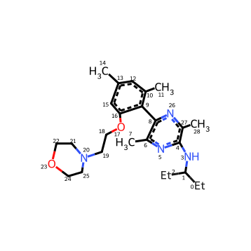 CCC(CC)Nc1nc(C)c(-c2c(C)cc(C)cc2OCCN2CCOCC2)nc1C